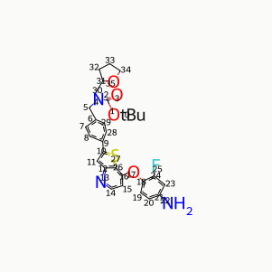 CC(C)(C)OC(=O)N(Cc1ccc(-c2cc3nccc(Oc4ccc(N)cc4F)c3s2)cc1)CC1CCCO1